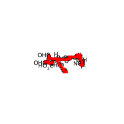 Cc1ccc(CCCC(=O)NCCSCC(NC(=O)CN2CCN(COC=O)CCN(COC=O)CCN(CC(=O)O)CC2)C(=O)NCCSC[C@@H](O)C(=O)N2CCC(CCCOc3ccc4nccc(C(=O)NCC(=O)N5CC(C)(F)C[C@@H]5C#N)c4c3)CC2)cc1